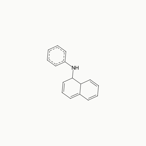 C1=CC2=CC=CC(Nc3ccccc3)C2C=C1